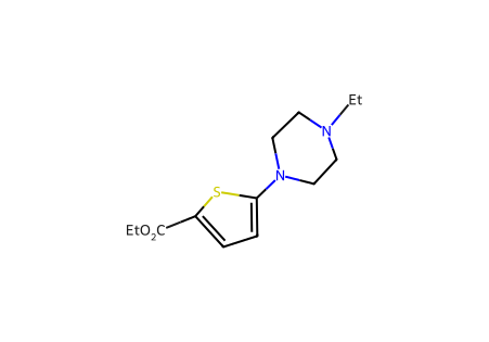 CCOC(=O)c1ccc(N2CCN(CC)CC2)s1